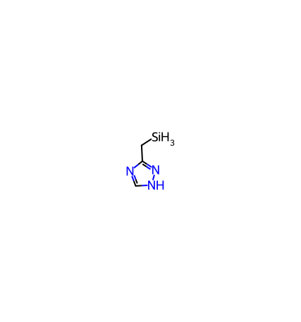 [SiH3]Cc1nc[nH]n1